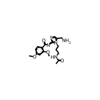 COc1ccc(C(=O)N=c2scc(CN)n2CCCNC(C)=O)c(OC)c1